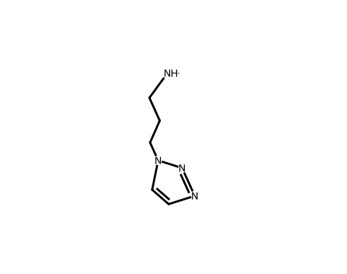 [NH]CCCn1ccnn1